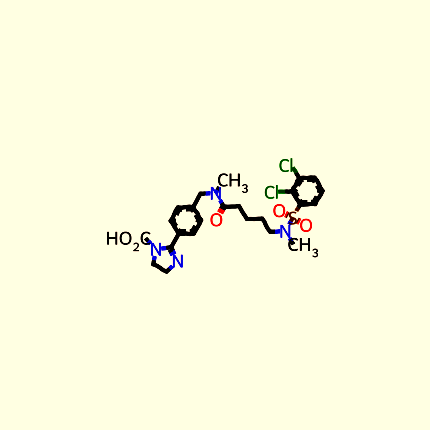 CN(Cc1ccc(C2=NCCN2C(=O)O)cc1)C(=O)CCCCN(C)S(=O)(=O)c1cccc(Cl)c1Cl